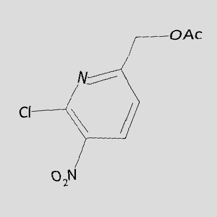 CC(=O)OCc1ccc([N+](=O)[O-])c(Cl)n1